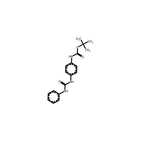 CC(C)(C)OC(=O)Nc1ccc(NC(=O)Nc2ccccc2)cc1